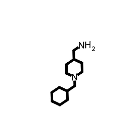 NCC1CCN(CC2CCCCC2)CC1